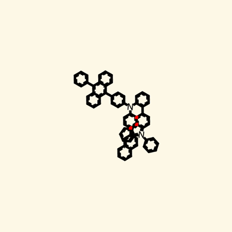 c1ccc(-c2c3ccccc3c(-c3ccc(N(c4ccc(-c5ccc6ccccc6c5)cc4)c4ccccc4-c4ccc5c(c4)c4ccccc4n5-c4ccccc4)cc3)c3ccccc23)cc1